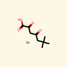 CC(C)(C)CC(=O)CC(=O)C(=O)O.[Sc]